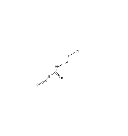 O=N[N]C(=O)NCCCl